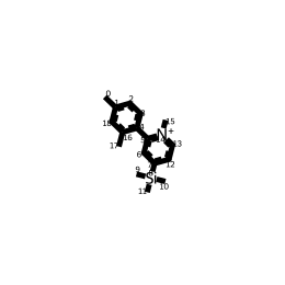 Cc1ccc(-c2cc([Si](C)(C)C)cc[n+]2C)c(C)c1